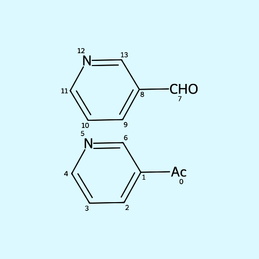 CC(=O)c1cccnc1.O=Cc1cccnc1